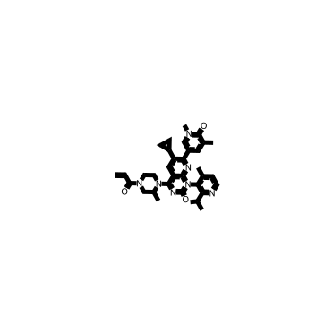 C=CC(=O)N1CCN(c2nc(=O)n(-c3c(C)ccnc3C(C)C)c3nc(-c4cc(C)c(=O)n(C)c4)c(C4CC4)cc23)C(C)C1